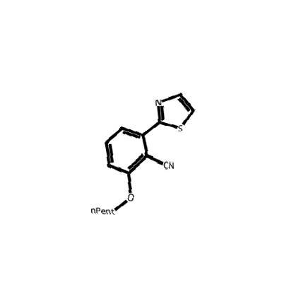 CCCCCOc1cccc(-c2nccs2)c1C#N